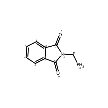 O=C1c2ccccc2C(=O)N1CP